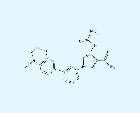 CN1CCOc2cc(-c3cccc(-n4cc(NC(N)=O)c(C(N)=O)n4)c3)ccc21